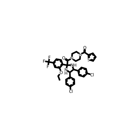 CCOc1cc(C(F)(F)F)ccc1C1(C(=O)N2CCN(C(=O)c3cccs3)CC2)NC(c2ccc(Cl)cc2)C(c2ccc(Cl)cc2)N1